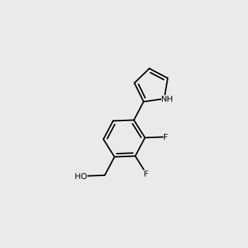 OCc1ccc(-c2ccc[nH]2)c(F)c1F